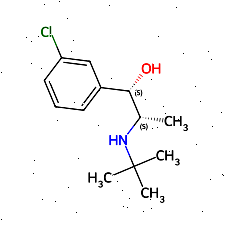 C[C@H](NC(C)(C)C)[C@@H](O)c1cccc(Cl)c1